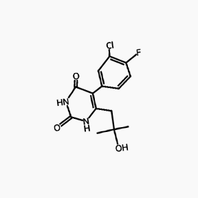 CC(C)(O)Cc1[nH]c(=O)[nH]c(=O)c1-c1ccc(F)c(Cl)c1